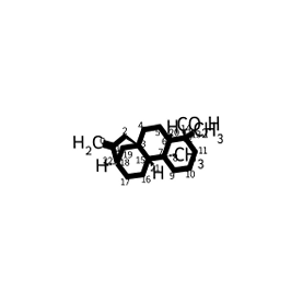 C=C1C[C@@]23CC[C@H]4[C@@](C)(CCC[C@]4(C)C(=O)O)[C@@H]2CC[C@@H]1C3